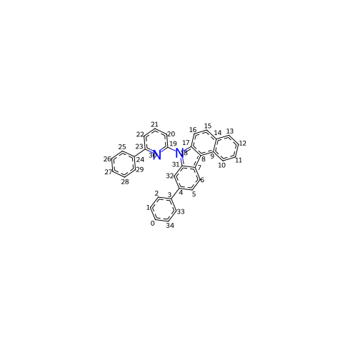 c1ccc(-c2ccc3c4c5ccccc5ccc4n(-c4cccc(-c5ccccc5)n4)c3c2)cc1